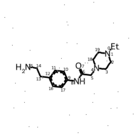 CCN1CCN(CC(=O)Nc2ccc(CCN)cc2)CC1